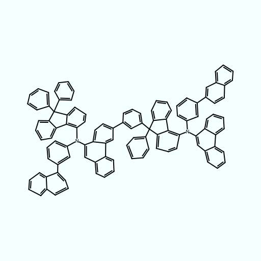 c1ccc(C2(c3cccc(-c4ccc5c(N(c6cccc(-c7cccc8ccccc78)c6)c6cccc7c6-c6ccccc6C7(c6ccccc6)c6ccccc6)cc6ccccc6c5c4)c3)c3ccccc3-c3c(N(c4cccc(-c5ccc6ccccc6c5)c4)c4cc5ccccc5c5ccccc45)cccc32)cc1